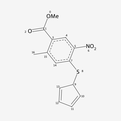 COC(=O)c1cc([N+](=O)[O-])c(SC2C=CC=C2)cc1C